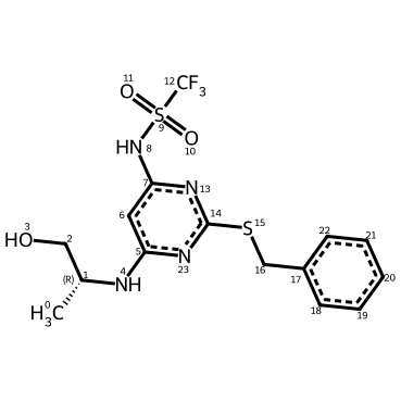 C[C@H](CO)Nc1cc(NS(=O)(=O)C(F)(F)F)nc(SCc2ccccc2)n1